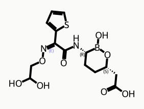 O=C(O)C[C@@H]1CC[C@H](NC(=O)/C(=N\OCC(O)O)c2cccs2)B(O)O1